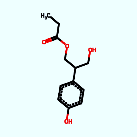 CCC(=O)OCC(CO)c1ccc(O)cc1